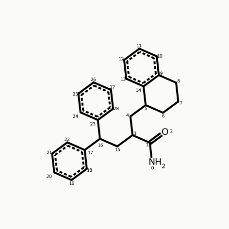 NC(=O)C(CC1CCCc2ccccc21)CC(c1ccccc1)c1ccccc1